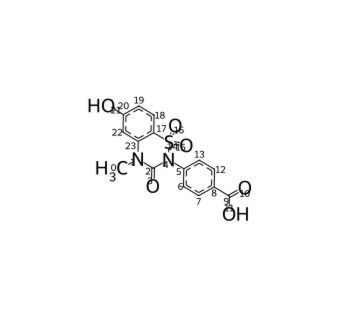 CN1C(=O)N(c2ccc(C(=O)O)cc2)S(=O)(=O)c2ccc(O)cc21